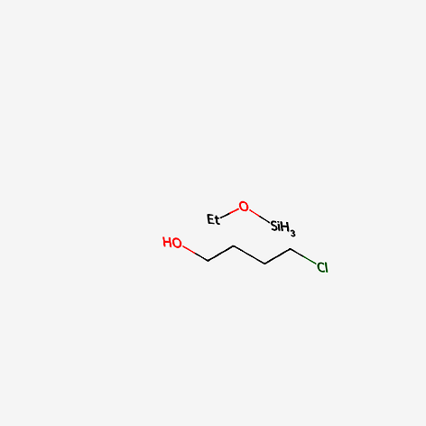 CCO[SiH3].OCCCCCl